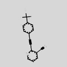 N#Cc1cccnc1C#Cc1ccc(C(F)(F)F)cc1